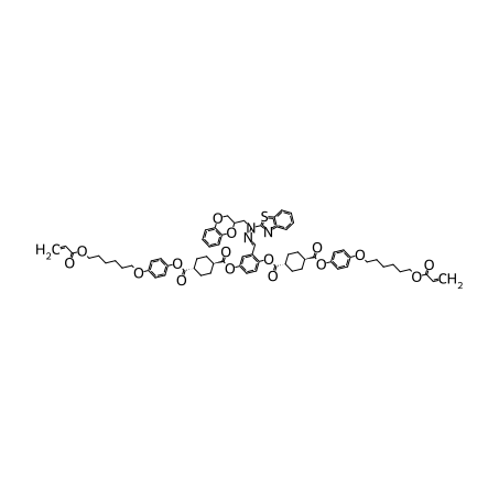 C=CC(=O)OCCCCCCOc1ccc(OC(=O)[C@H]2CC[C@H](C(=O)Oc3ccc(OC(=O)[C@H]4CC[C@H](C(=O)Oc5ccc(OCCCCCCOC(=O)C=C)cc5)CC4)c(/C=N/N(CC4COc5ccccc5O4)c4nc5ccccc5s4)c3)CC2)cc1